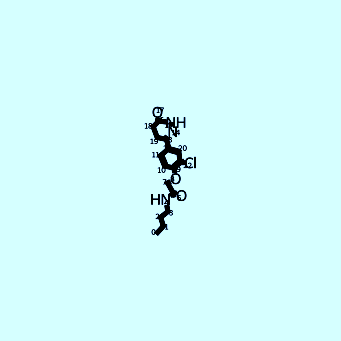 CCCCNC(=O)COc1ccc(C2=NNC(=O)CC2)cc1Cl